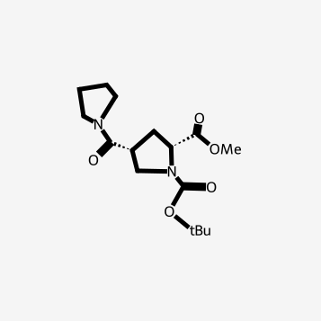 COC(=O)[C@H]1C[C@@H](C(=O)N2CCCC2)CN1C(=O)OC(C)(C)C